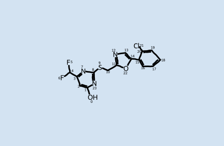 Oc1cc(C(F)F)nc(SCc2ncc(-c3ccccc3Cl)o2)n1